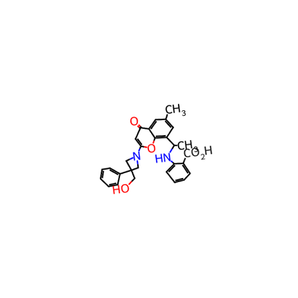 Cc1cc(C(C)Nc2ccccc2C(=O)O)c2oc(N3CC(CO)(c4ccccc4)C3)cc(=O)c2c1